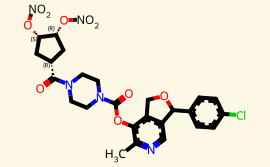 Cc1ncc2c(c1OC(=O)N1CCN(C(=O)[C@@H]3C[C@H](O[N+](=O)[O-])[C@H](O[N+](=O)[O-])C3)CC1)COC2c1ccc(Cl)cc1